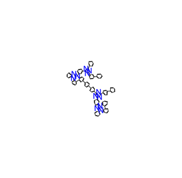 c1ccc(-c2ccc(-c3nc(-c4ccc(-c5ccc(-c6ccc7c(c6)-c6ccccc6-n6c(nc8ccccc86)N7c6cccc(-c7nc(-c8ccccc8)nc(-c8cccc(-c9ccccc9)c8)n7)c6)cc5)cc4)nc(-c4cccc(N5c6ccccc6-c6ccccc6-n6c5nc5ccccc56)c4)n3)cc2)cc1